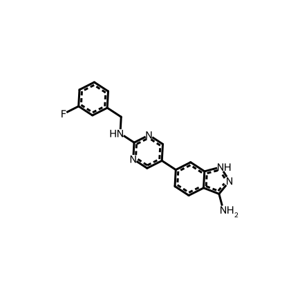 Nc1n[nH]c2cc(-c3cnc(NCc4cccc(F)c4)nc3)ccc12